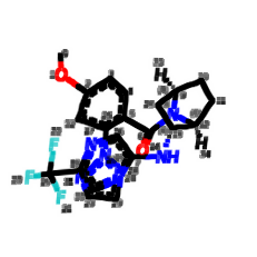 COc1ccc(C(=O)N2[C@@H]3CC[C@H]2[C@H](Nc2cnc(C(F)(F)F)cn2)C3)c(-n2nccn2)c1